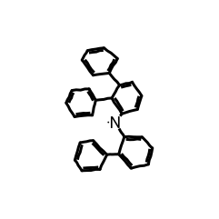 c1ccc(-c2ccccc2[N]c2cccc(-c3ccccc3)c2-c2ccccc2)cc1